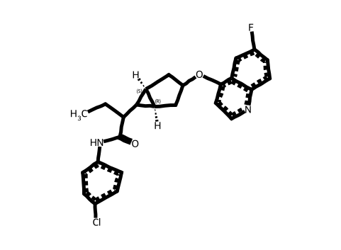 CCC(C(=O)Nc1ccc(Cl)cc1)C1[C@H]2CC(Oc3ccnc4ccc(F)cc34)C[C@@H]12